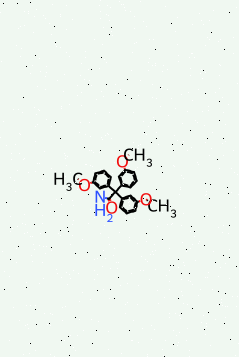 COc1cccc(C(C(N)=O)(c2cccc(OC)c2)c2cccc(OC)c2)c1